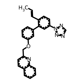 CC=Cc1ccc(-n2ncnn2)cc1-c1cccc(OCc2ccc3ccccc3n2)c1